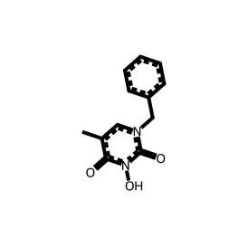 Cc1cn(Cc2ccccc2)c(=O)n(O)c1=O